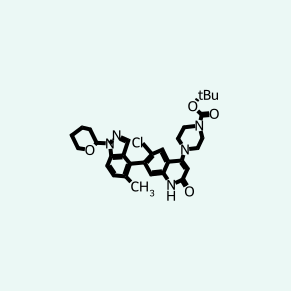 Cc1ccc2c(cnn2C2CCCCO2)c1-c1cc2[nH]c(=O)cc(N3CCN(C(=O)OC(C)(C)C)CC3)c2cc1Cl